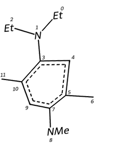 CCN(CC)c1cc(C)c(NC)cc1C